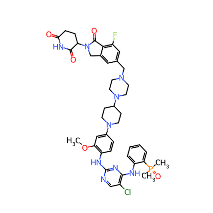 COc1cc(N2CCC(N3CCN(Cc4cc(F)c5c(c4)CN(C4CCC(=O)NC4=O)C5=O)CC3)CC2)ccc1Nc1ncc(Cl)c(Nc2ccccc2P(C)(C)=O)n1